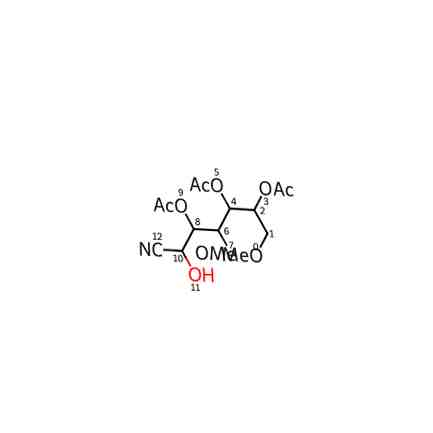 COCC(OC(C)=O)C(OC(C)=O)C(OC)C(OC(C)=O)C(O)C#N